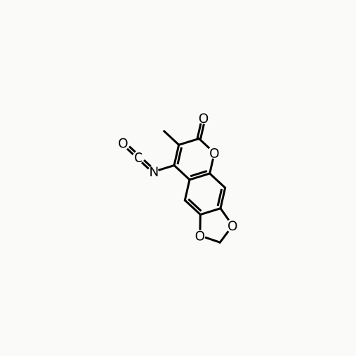 Cc1c(N=C=O)c2cc3c(cc2oc1=O)OCO3